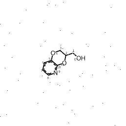 OCC1COc2cccnc2O1